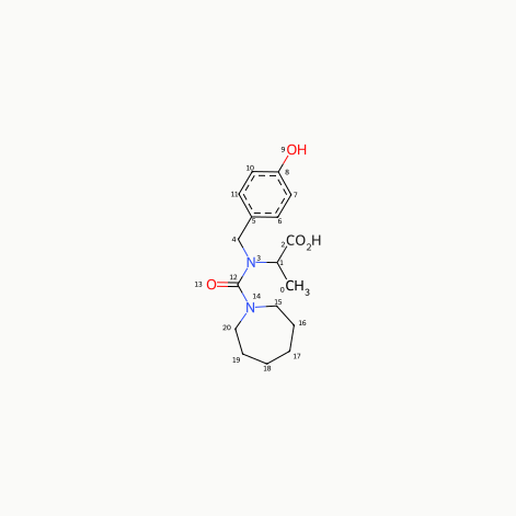 CC(C(=O)O)N(Cc1ccc(O)cc1)C(=O)N1CCCCCC1